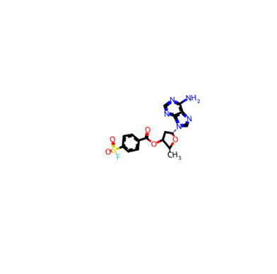 C[C@H]1O[C@@H](n2cnc3c(N)ncnc32)CC1OC(=O)c1ccc(S(=O)(=O)F)cc1